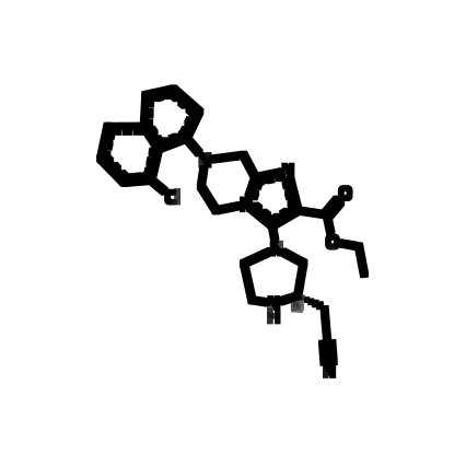 CCOC(=O)c1nc2n(c1N1CCN[C@@H](CC#N)C1)CCN(c1cccc3cccc(Cl)c13)C2